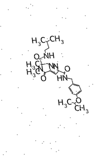 CC(C)CCNC(=O)C1(C)Cn2nc(C(=O)NCc3ccc(OC(C)C)cc3)cc2C(=O)N1C